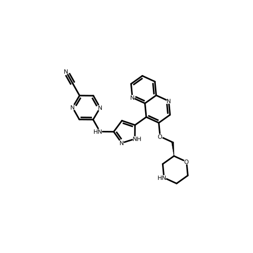 N#Cc1cnc(Nc2cc(-c3c(OC[C@@H]4CNCCO4)cnc4cccnc34)[nH]n2)cn1